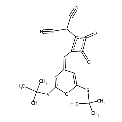 CC(C)(C)SC1=CC(=Cc2c(C(C#N)C#N)c(=O)c2=O)C=C(SC(C)(C)C)O1